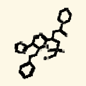 CC(C)CS(=O)(=O)CC(CC(=O)N1CCOCC1)C(=O)N[C@@H](CCc1ccccc1)C(O)c1ncco1